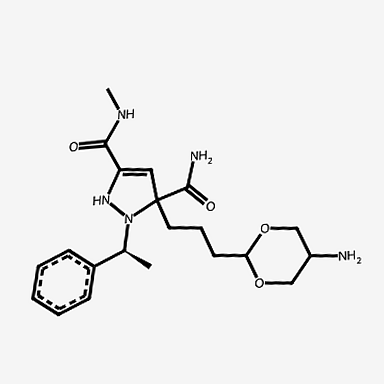 CNC(=O)C1=CC(CCCC2OCC(N)CO2)(C(N)=O)N([C@@H](C)c2ccccc2)N1